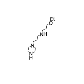 CCOCCCNCCCN1CCNCC1